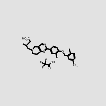 Cc1ccc(C(F)(F)F)cc1COc1ccc(-c2ncc3c(n2)CCN(CC(C)CC(=O)O)C3)cc1C.O=C(O)C(F)(F)F